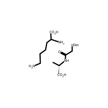 CCCCCCCCCCCC(=O)N[C@@H](C)C(=O)O.NCCCCC(N)C(=O)O